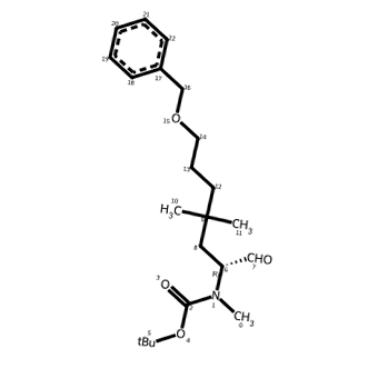 CN(C(=O)OC(C)(C)C)[C@@H](C=O)CC(C)(C)CCCOCc1ccccc1